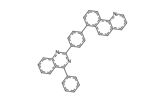 c1ccc(-c2nc(-c3ccc(-c4cccc5c4ccc4cccnc45)cc3)nc3ccccc23)cc1